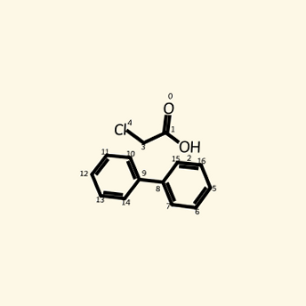 O=C(O)CCl.c1ccc(-c2ccccc2)cc1